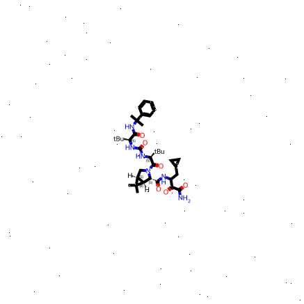 CC(C)(NC(=O)[C@@H](NC(=O)N[C@H](C(=O)N1C[C@H]2[C@@H]([C@H]1C(=O)NC(CC1CC1)C(=O)C(N)=O)C2(C)C)C(C)(C)C)C(C)(C)C)c1ccccc1